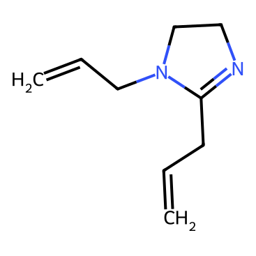 C=CCC1=NCCN1CC=C